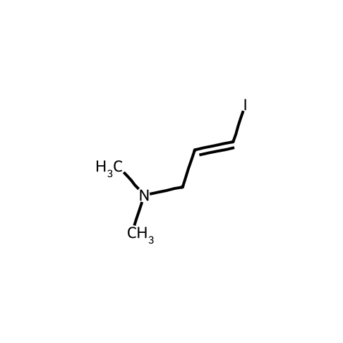 CN(C)C/C=C/I